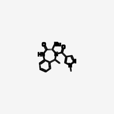 CCC(C)C1C(=O)Nc2ccccc2C(C)N1C(=O)c1cnn(C)c1